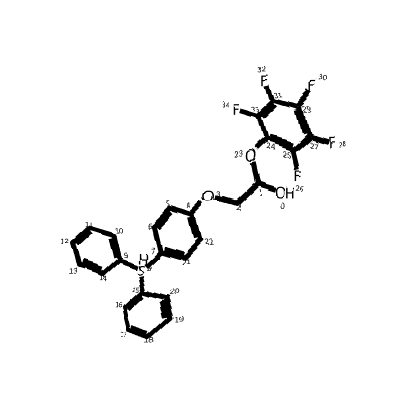 OC(COc1ccc([SH](c2ccccc2)c2ccccc2)cc1)Oc1c(F)c(F)c(F)c(F)c1F